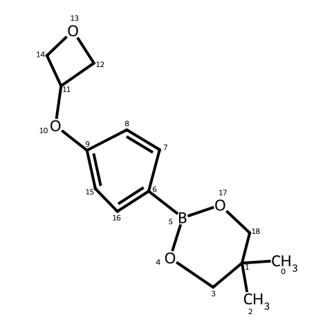 CC1(C)COB(c2ccc(OC3COC3)cc2)OC1